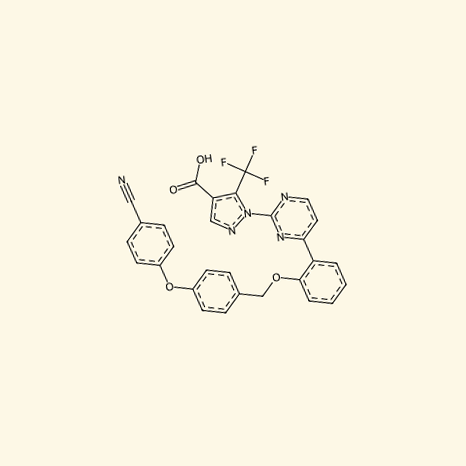 N#Cc1ccc(Oc2ccc(COc3ccccc3-c3ccnc(-n4ncc(C(=O)O)c4C(F)(F)F)n3)cc2)cc1